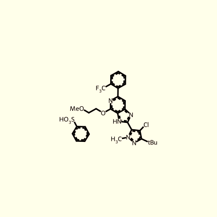 COCCOc1nc(-c2ccccc2C(F)(F)F)cc2nc(-c3c(Cl)c(C(C)(C)C)nn3C)[nH]c12.O=S(=O)(O)c1ccccc1